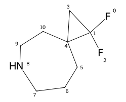 FC1(F)CC12CCCNCC2